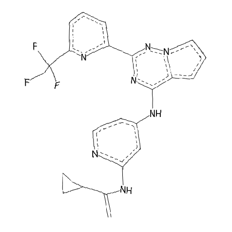 C=C(Nc1cc(Nc2nc(-c3cccc(C(F)(F)F)n3)nn3cccc23)ccn1)C1CC1